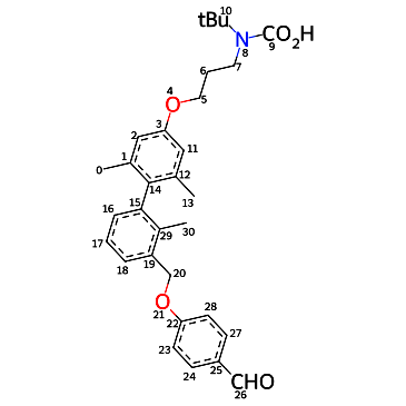 Cc1cc(OCCCN(C(=O)O)C(C)(C)C)cc(C)c1-c1cccc(COc2ccc(C=O)cc2)c1C